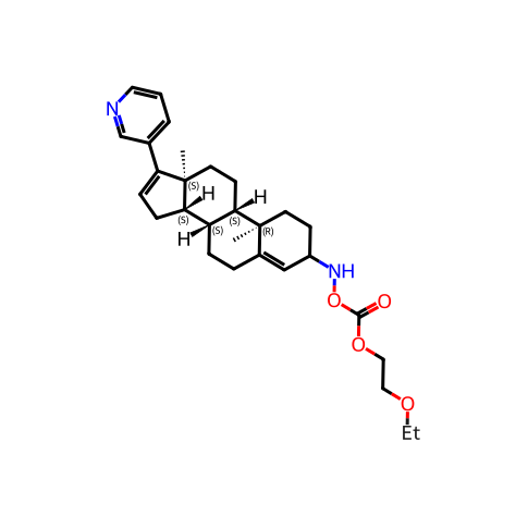 CCOCCOC(=O)ONC1C=C2CC[C@H]3[C@H](CC[C@]4(C)C(c5cccnc5)=CC[C@@H]34)[C@@]2(C)CC1